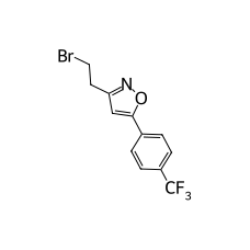 FC(F)(F)c1ccc(-c2cc(CCBr)no2)cc1